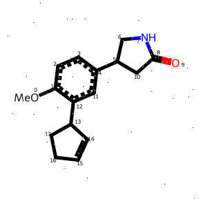 COc1ccc(C2CNC(=O)C2)cc1C1C=CCC1